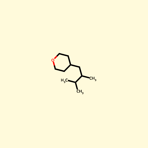 CC(C)C(C)CC1CCOCC1